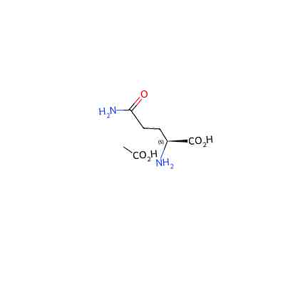 CC(=O)O.NC(=O)CC[C@H](N)C(=O)O